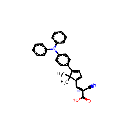 CC1(C)C(/C=C(\C#N)C(=O)O)=CC=C1c1ccc(N(c2ccccc2)c2ccccc2)cc1